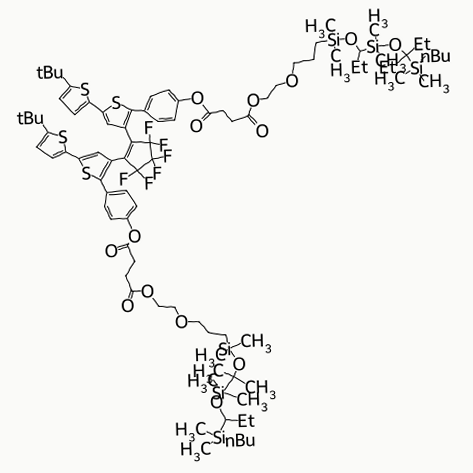 CCCC[Si](C)(C)C(CC)O[Si](C)(C)C(C)(C)O[Si](C)(C)CCCOCCOC(=O)CCC(=O)Oc1ccc(-c2sc(-c3ccc(C(C)(C)C)s3)cc2C2=C(c3cc(-c4ccc(C(C)(C)C)s4)sc3-c3ccc(OC(=O)CCC(=O)OCCOCCC[Si](C)(C)OC(CC)[Si](C)(C)OC(CC)(CC)[Si](C)(C)CCCC)cc3)C(F)(F)C(F)(F)C2(F)F)cc1